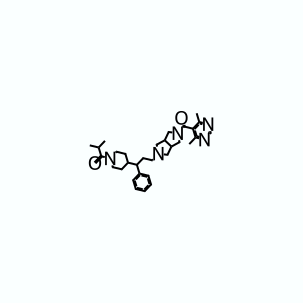 Cc1ncnc(C)c1C(=O)N1CC2CN(CCC(c3ccccc3)C3CCN(C(=O)C(C)C)CC3)CC2C1